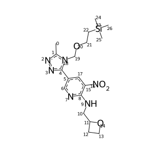 Cc1nnc(-c2cnc(NCC3CCO3)c([N+](=O)[O-])c2)n1COCC[Si](C)(C)C